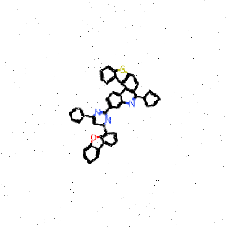 c1ccc(-c2cc(-c3cccc4c3oc3ccccc34)nc(-c3ccc4c(c3)nc(-c3ccccc3)c3ccc5sc6ccccc6c5c34)n2)cc1